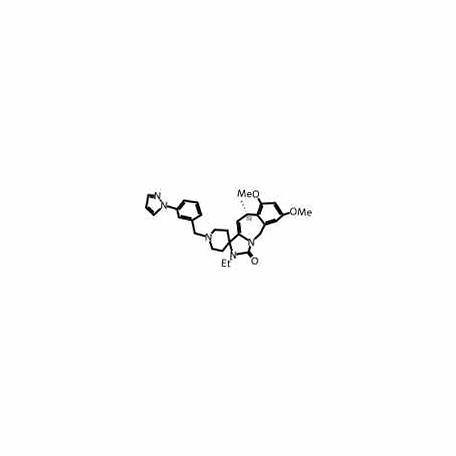 CCN1C(=O)N2Cc3cc(OC)cc(OC)c3[C@@H](C)C=C2C12CCN(Cc1cccc(-n3cccn3)c1)CC2